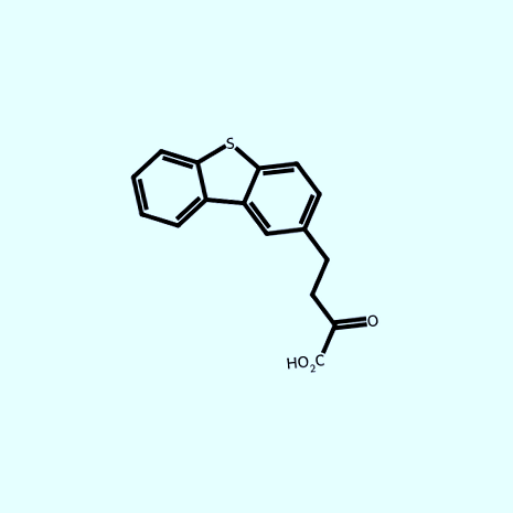 O=C(O)C(=O)CCc1ccc2sc3ccccc3c2c1